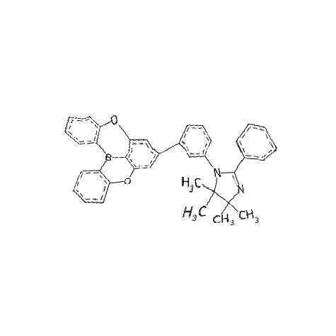 CC1(C)N=C(c2ccccc2)N(c2cccc(-c3cc4c5c(c3)Oc3ccccc3B5c3ccccc3O4)c2)C1(C)C